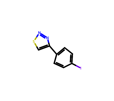 Ic1ccc(-c2csnn2)cc1